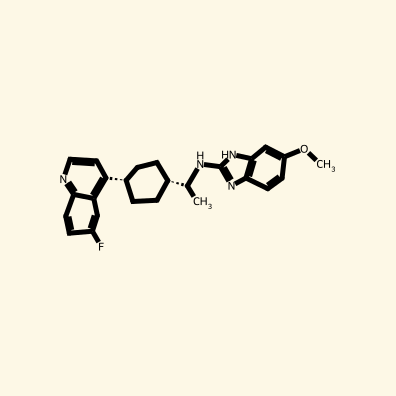 COc1ccc2nc(NC(C)[C@H]3CC[C@@H](c4ccnc5ccc(F)cc54)CC3)[nH]c2c1